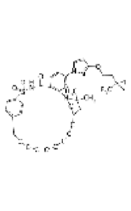 CC1(C)CC2CCCCCCCCCc3ccc(cc3)S(=O)(=O)NC(=O)c3ccc(-n4ccc(OCCC5(C(F)(F)F)CC5)n4)nc3N1C2